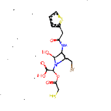 O=C(Cc1cccs1)NC1C(O)N(C(OC(=O)CS)C(=O)O)C1CBr